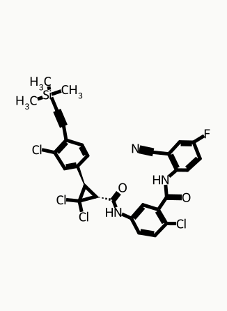 C[Si](C)(C)C#Cc1ccc([C@H]2[C@H](C(=O)Nc3ccc(Cl)c(C(=O)Nc4ccc(F)cc4C#N)c3)C2(Cl)Cl)cc1Cl